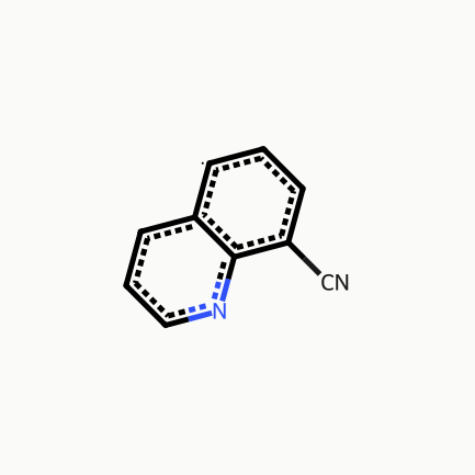 N#Cc1cc[c]c2cccnc12